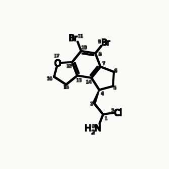 NC(Cl)C[C@@H]1CCc2c(Br)c(Br)c3c(c21)CCO3